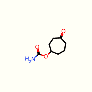 NC(=O)OC1CCCC(=O)CC1